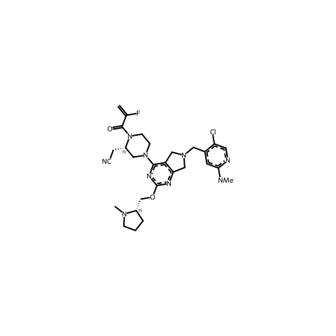 C=C(F)C(=O)N1CCN(c2nc(OC[C@@H]3CCCN3C)nc3c2CN(Cc2cc(NC)ncc2Cl)C3)C[C@@H]1CC#N